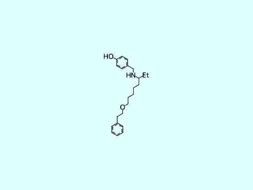 CCC(CCCCCOCCc1ccccc1)NCc1ccc(O)cc1